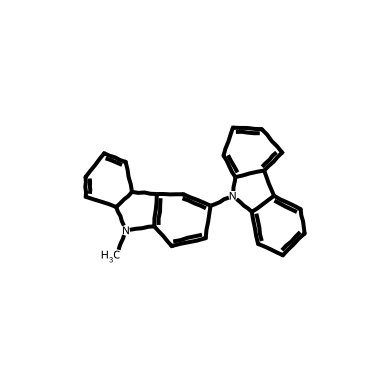 CN1c2ccc(-n3c4ccccc4c4ccccc43)cc2C2C=CC=CC21